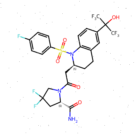 NC(=O)[C@@H]1CC(F)(F)CN1C(=O)C[C@@H]1CCc2cc(C(O)(C(F)(F)F)C(F)(F)F)ccc2N1S(=O)(=O)c1ccc(F)cc1